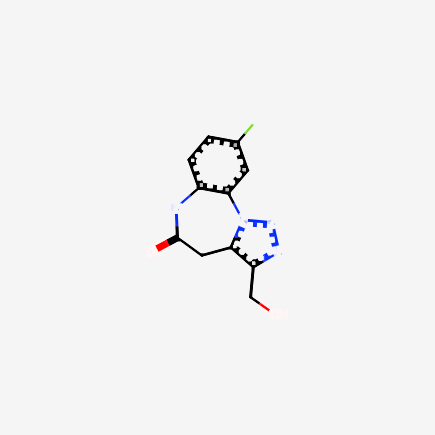 O=C1Cc2c(CO)nnn2-c2cc(F)ccc2N1